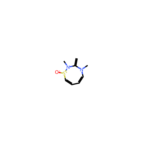 C=C1N(C)/C=C\C=C/[S+]([O-])N1C